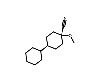 CO[C@]1(C#N)CC[C@@H](C2CCCCC2)CC1